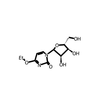 CCOc1ccn(C2O[C@H](CO)[C@@H](O)[C@H]2O)c(=O)n1